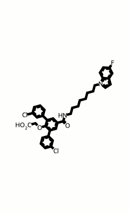 O=C(O)COc1c(-c2cccc(Cl)c2)cc(C(=O)NCCCCCCCCn2ccc3cc(F)ccc32)cc1-c1cccc(Cl)c1